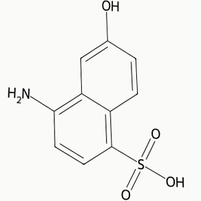 Nc1ccc(S(=O)(=O)O)c2ccc(O)cc12